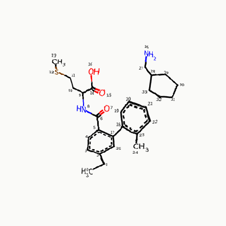 CCc1ccc(C(=O)NC(CCSC)C(=O)O)c(-c2ccccc2C)c1.NCC1CCCCC1